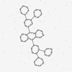 c1ccc(-c2ccc(-c3c4ccccc4c(-c4ccc(-c5ccccc5)c(-c5ccccc5)c4)c4cnccc34)cc2-c2ccccc2)cc1